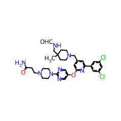 CC1(CNC=O)CCN(Cc2cc(Oc3cnc(N4CCN(CCC(N)=O)CC4)nc3)nc(-c3cc(Cl)cc(Cl)c3)c2)CC1